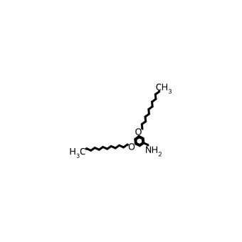 CCCCCCCCCCCCOc1cc(CN)cc(OCCCCCCCCCCCC)c1